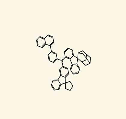 c1cc(-c2cccc3ccccc23)cc(N(c2ccc3c(c2)-c2ccccc2C32CCCC2)c2cccc3c2-c2ccccc2C32C3CC4CC(C3)CC2C4)c1